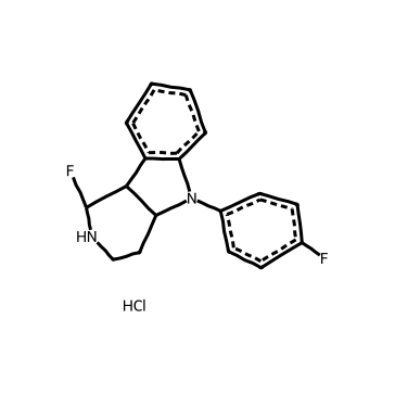 Cl.Fc1ccc(N2c3ccccc3C3C(F)NCCC32)cc1